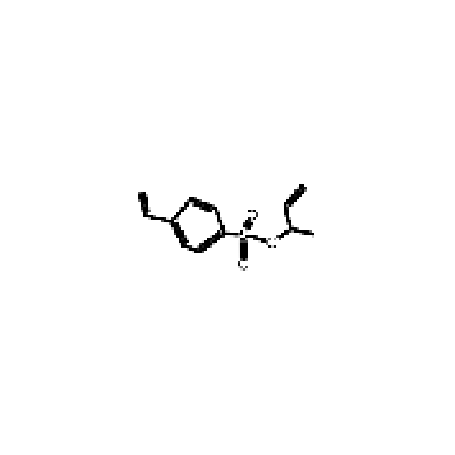 C=Cc1ccc(S(=O)(=O)OC(C)C=C)cc1